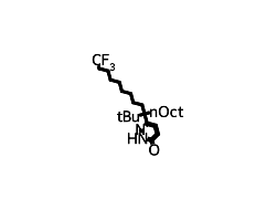 CCCCCCCCC(CCCCCCCCC(F)(F)F)(c1ccc(=O)[nH]n1)C(C)(C)C